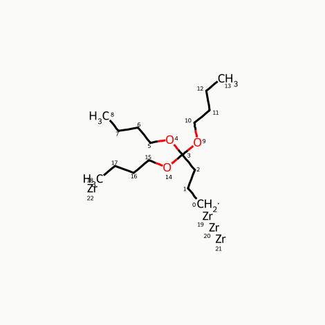 [CH2]CCC(OCCCC)(OCCCC)OCCCC.[Zr].[Zr].[Zr].[Zr]